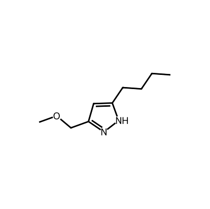 CCCCc1cc(COC)n[nH]1